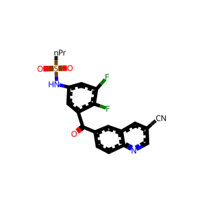 CCCS(=O)(=O)Nc1cc(F)c(F)c(C(=O)c2ccc3ncc(C#N)cc3c2)c1